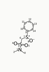 CN(C)S(=O)(=O)C[S+]([O-])c1ccccc1